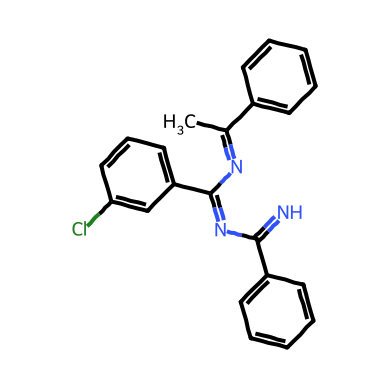 C/C(=N\C(=N/C(=N)c1ccccc1)c1cccc(Cl)c1)c1ccccc1